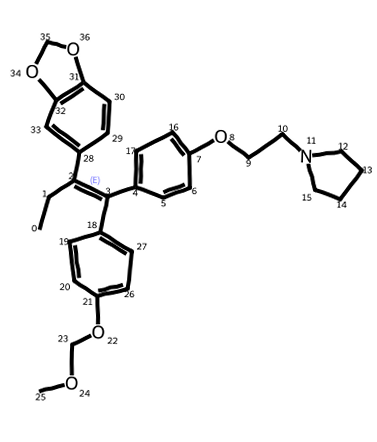 CC/C(=C(/c1ccc(OCCN2CCCC2)cc1)c1ccc(OCOC)cc1)c1ccc2c(c1)OCO2